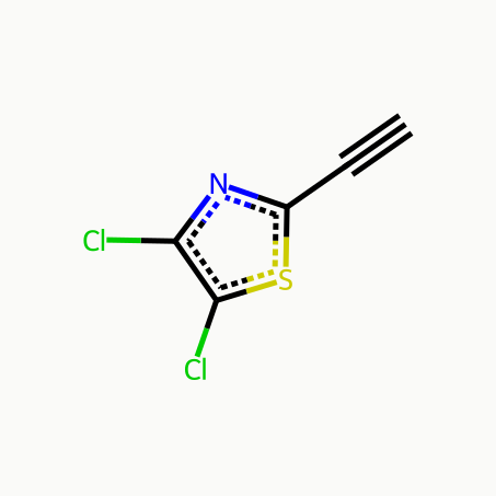 C#Cc1nc(Cl)c(Cl)s1